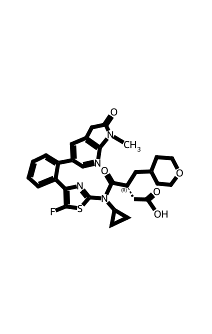 CN1C(=O)Cc2cc(-c3ccccc3-c3nc(N(C(=O)[C@@H](CC(=O)O)CC4CCOCC4)C4CC4)sc3F)cnc21